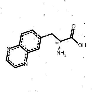 N[C@H](Cc1ccc2nccnc2c1)C(=O)O